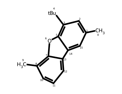 Cc1cc(C(C)(C)C)c2oc3c(C)cccc3c2c1